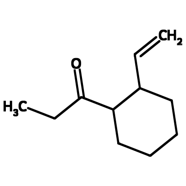 C=CC1CCCCC1C(=O)CC